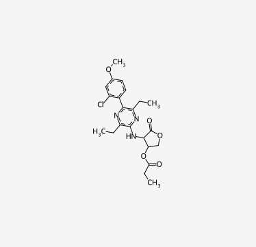 CCC(=O)OC1COC(=O)C1Nc1nc(CC)c(-c2ccc(OC)cc2Cl)nc1CC